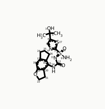 CC(C)(O)c1cnc([S@@](N)(=O)=NC(=O)Nc2c3c(cc4c2CCO4)CCC3)s1